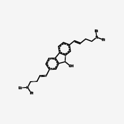 CCN(CC)CCC=Cc1ccc2c(c1)C(O)c1cc(C=CCCN(CC)CC)ccc1-2